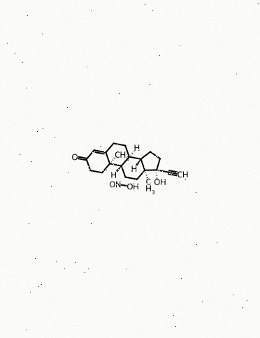 C#C[C@]1(O)CC[C@H]2[C@@H]3CCC4=CC(=O)CC[C@]4(C)[C@H]3CC[C@@]21C.O=NO